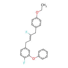 CCOc1ccc(CC(F)=CCc2ccc(F)c(Oc3ccccc3)c2)cc1